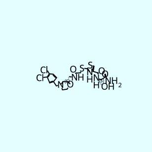 NC(=O)[C@H](CO)NC(=O)C1=CSC(SCC(=O)NC[C@H]2CN(Cc3ccc(Cl)c(Cl)c3)CCO2)N1